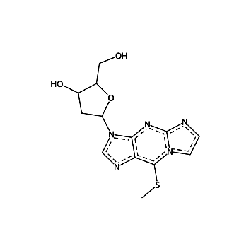 CSc1c2ncn(C3CC(O)C(CO)O3)c2nc2nccn12